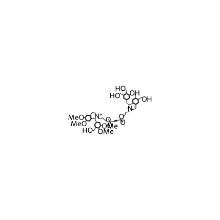 COc1cc2c(cc1OC)C(c1cc(CO)c(OC)c(OC)c1)[N+](C)(CCCOC(=O)C#CC(=O)OCCC[N+]1(C)CCc3cc(CO)c(CO)cc3C1Cc1ccc(CO)c(CO)c1)CC2